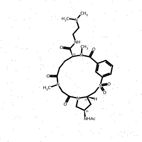 CC(=O)N[C@@H]1C[C@H]2CS(=O)(=O)c3cccc(c3)C(=O)N(C)[C@H](C(=O)NCCN(C)C)CCC(=O)N(C)CC(=O)N2C1